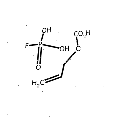 C=CCOC(=O)O.O=P(O)(O)F